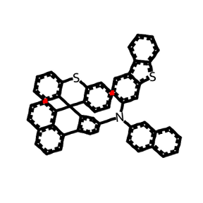 c1ccc2c(c1)Sc1ccccc1C21c2cc(N(c3ccc4ccccc4c3)c3ccc4c(c3)sc3ccccc34)ccc2-c2cccc3cccc1c23